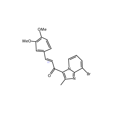 COc1ccc(/C=C/C(=O)c2c(C)nc3c(Br)cccn23)cc1OC